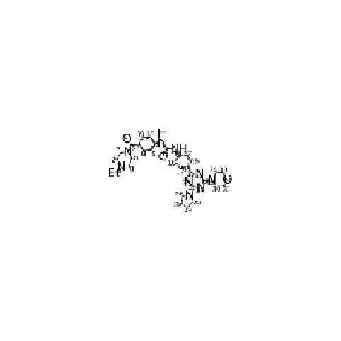 CCN1CCN(C(=O)c2ccc(NC(=O)Nc3ccc(-c4nc(N5CCCC5)nc(N5CCOCC5)n4)cc3)cc2)CC1